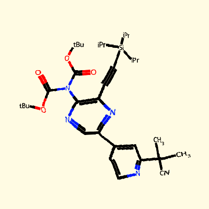 CC(C)[Si](C#Cc1nc(-c2ccnc(C(C)(C)C#N)c2)cnc1N(C(=O)OC(C)(C)C)C(=O)OC(C)(C)C)(C(C)C)C(C)C